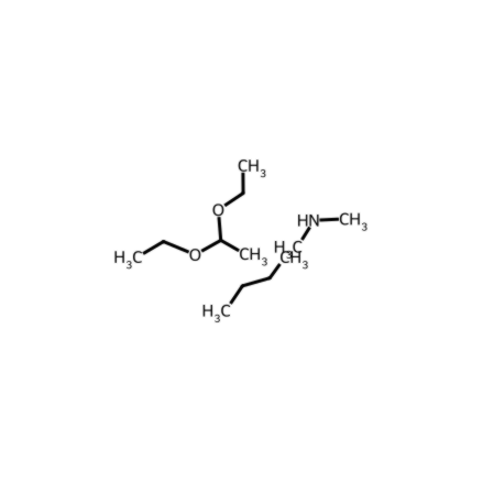 CCCC.CCOC(C)OCC.CNC